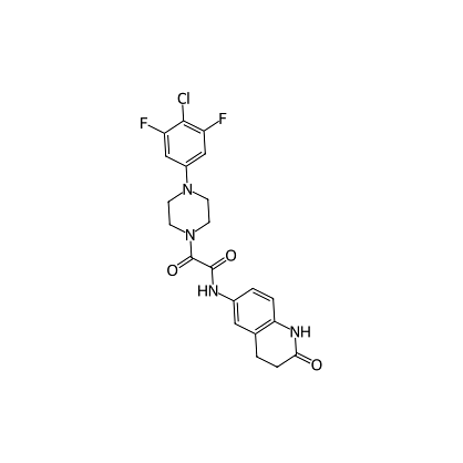 O=C1CCc2cc(NC(=O)C(=O)N3CCN(c4cc(F)c(Cl)c(F)c4)CC3)ccc2N1